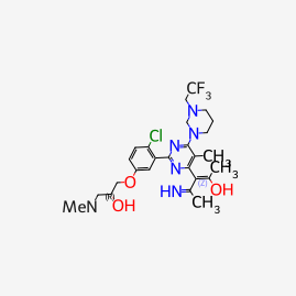 CNC[C@@H](O)COc1ccc(Cl)c(-c2nc(/C(C(C)=N)=C(\C)O)c(C)c(N3CCCN(CC(F)(F)F)C3)n2)c1